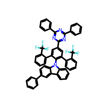 FC(F)(F)c1ccccc1-c1cc(-c2nc(-c3ccccc3)nc(-c3ccccc3)n2)cc(-c2ccccc2C(F)(F)F)c1-n1c2ccccc2c2cc(-c3ccccc3)ccc21